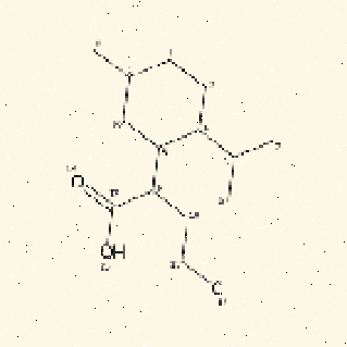 CC1CCC(C(C)C)C(C(CCCl)C(=O)O)C1